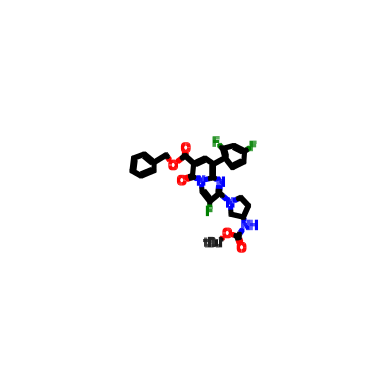 CC(C)(C)OC(=O)NC1CCN(c2nc3c(-c4ccc(F)cc4F)cc(C(=O)OCc4ccccc4)c(=O)n3cc2F)C1